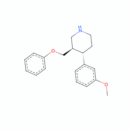 COc1cccc([C@H]2CCNC[C@@H]2COc2ccccc2)c1